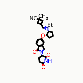 CCN(CC1CC(C)(C#N)C1)[C@H]1CCC[C@@H]1Oc1ccc2c(c1)CN([C@@H]1CCC(=O)NC1=O)C2=O